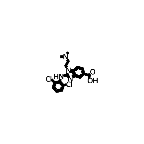 CN(C)CCn1c(Nc2c(Cl)cccc2Cl)nc2cc(C(=O)O)ccc21